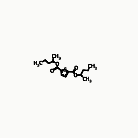 CCCC(C)OC(=O)c1ccc(C(=O)OC(C)CCC)s1